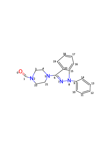 O=CN1CCN(c2nn(-c3ccccc3)c3ccccc23)CC1